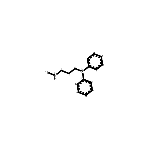 INCCCP(c1ccccc1)c1ccccc1